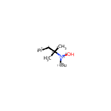 CC(C)CC(C)(C)N(O)C(C)(C)C